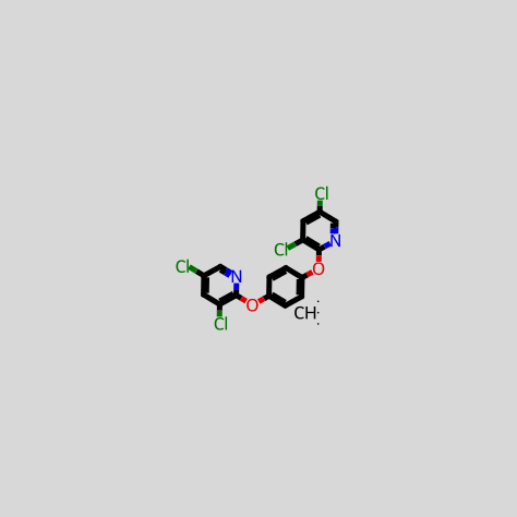 Clc1cnc(Oc2ccc(Oc3ncc(Cl)cc3Cl)cc2)c(Cl)c1.[CH]